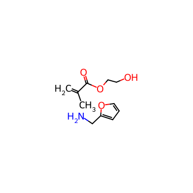 C=C(C)C(=O)OCCO.NCc1ccco1